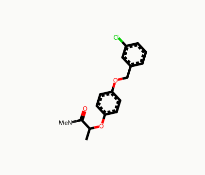 CNC(=O)C(C)Oc1ccc(OCc2cccc(Cl)c2)cc1